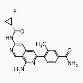 Cc1cc(C(N)=O)ccc1-c1cc2cc(NC(=O)[C@@H]3C[C@@H]3F)ncc2c(N)n1